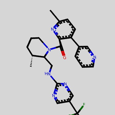 Cc1ccc(-c2cccnc2)c(C(=O)N2CCC[C@@H](C)C2CNc2ncc(C(F)(F)F)cn2)n1